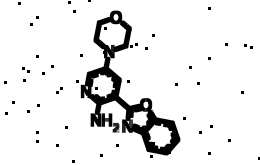 Nc1ncc(N2CCOCC2)cc1-c1nc2ccccc2o1